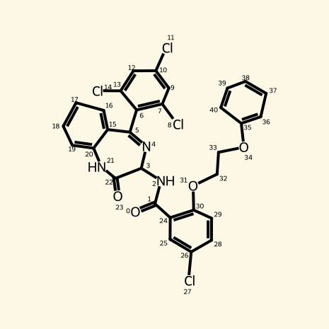 O=C(NC1N=C(c2c(Cl)cc(Cl)cc2Cl)c2ccccc2NC1=O)c1cc(Cl)ccc1OCCOc1ccccc1